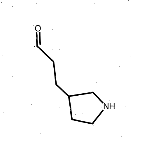 O=[C]CCC1CCNC1